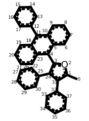 Cc1oc(-c2c3ccccc3c(-c3ccccc3)c3ccccc23)c(-c2ccccc2)c1-c1ccccc1